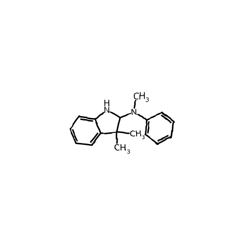 CN(c1ccccc1)C1Nc2ccccc2C1(C)C